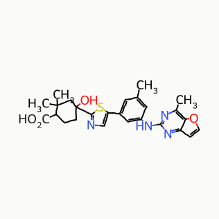 Cc1cc(Nc2nc(C)c3occc3n2)cc(-c2cnc(C3(O)CCC(C(=O)O)C(C)(C)C3)s2)c1